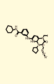 [N-]=[N+]=NC[C@@H]1C(=O)N(CI)C2=CC=C(Nc3cccc(C(=O)NC4CCCCC4)c3)NC2N1C1CCCC1